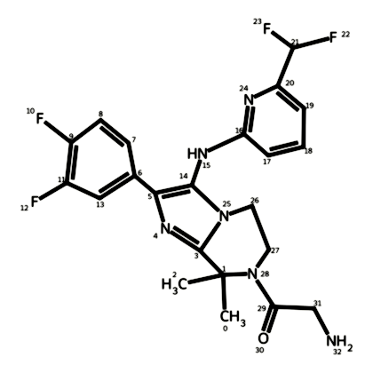 CC1(C)c2nc(-c3ccc(F)c(F)c3)c(Nc3cccc(C(F)F)n3)n2CCN1C(=O)CN